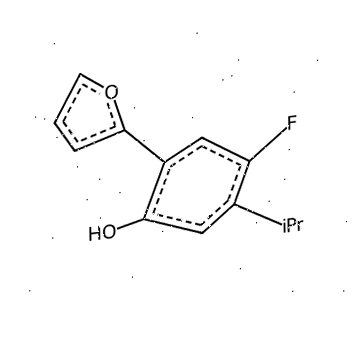 CC(C)c1cc(O)c(-c2ccco2)cc1F